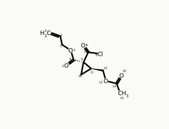 C=CCOC(=O)[C@@]1(C(=O)Cl)C[C@@H]1COC(C)=O